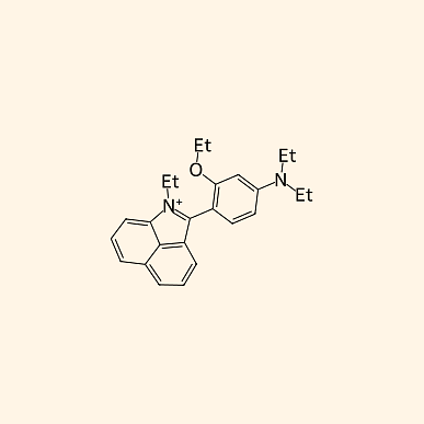 CCOc1cc(N(CC)CC)ccc1C1=[N+](CC)c2cccc3cccc1c23